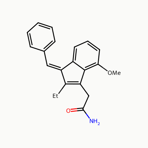 CCC1=C(CC(N)=O)c2c(OC)cccc2/C1=C\c1ccccc1